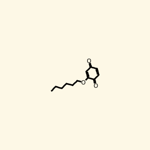 CCCCCCOC1=CC(=O)C=CC1=O